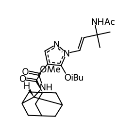 COC(=O)[C@]12CC3CC(C1)[C@@H](NC(=O)c1cnn(/C=C/C(C)(C)NC(C)=O)c1OCC(C)C)C(C3)C2